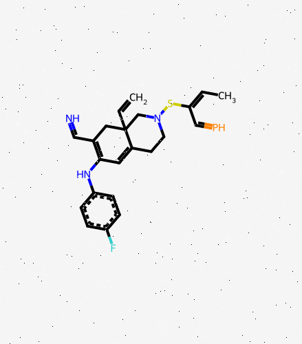 C=CC12CC(C=N)=C(Nc3ccc(F)cc3)C=C1CCN(S/C(C=P)=C/C)C2